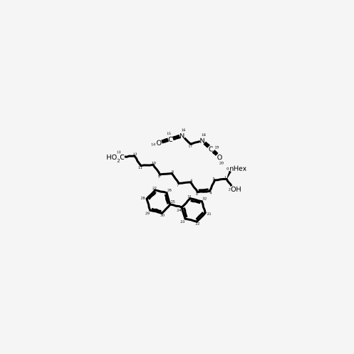 CCCCCC[C@@H](O)C/C=C\CCCCCCCC(=O)O.O=C=NCN=C=O.c1ccc(-c2ccccc2)cc1